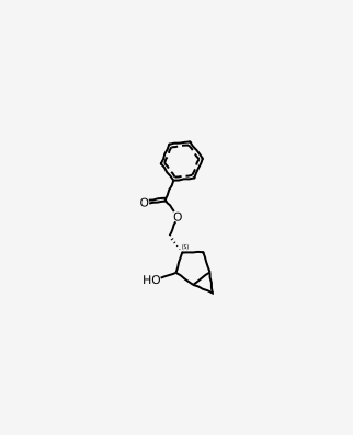 O=C(OC[C@@H]1CC2CC2C1O)c1ccccc1